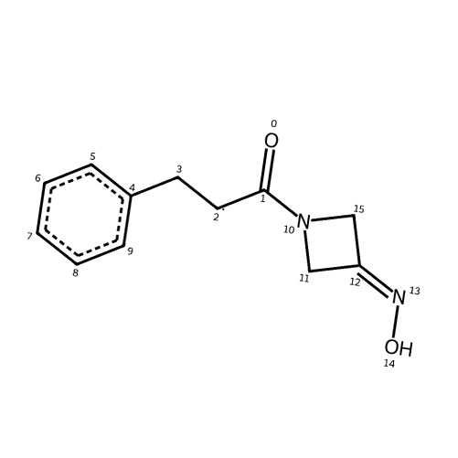 O=C([CH]Cc1ccccc1)N1CC(=NO)C1